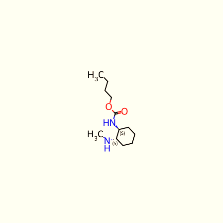 CCCCOC(=O)N[C@H]1CCCC[C@@H]1NC